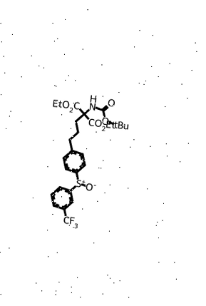 CCOC(=O)C(CCCc1ccc([S+]([O-])c2cccc(C(F)(F)F)c2)cc1)(NC(=O)OC(C)(C)C)C(=O)OCC